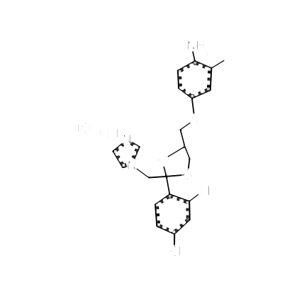 Cc1cc(SCC2COC(Cn3ccnc3)(c3ccc(Cl)cc3Cl)O2)ccc1N.Cl.Cl